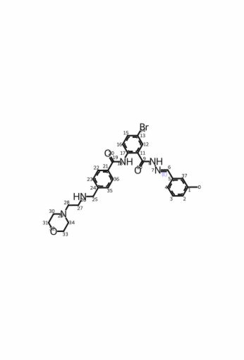 Cc1cccc(/C=N/NC(=O)c2cc(Br)ccc2NC(=O)c2ccc(CNCCN3CCOCC3)cc2)c1